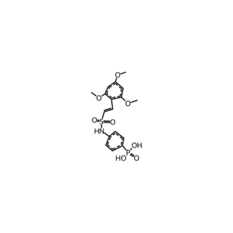 COc1cc(OC)c(C=CS(=O)(=O)Nc2ccc(P(=O)(O)O)cc2)c(OC)c1